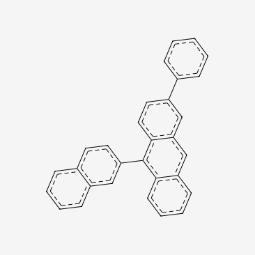 c1ccc(-c2ccc3c(-c4ccc5ccccc5c4)c4ccccc4cc3c2)cc1